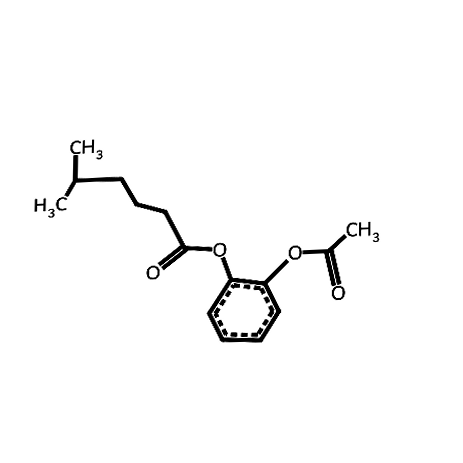 CC(=O)Oc1ccccc1OC(=O)CCCC(C)C